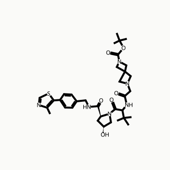 Cc1ncsc1-c1ccc(CNC(=O)[C@@H]2C[C@@H](O)CN2C(=O)C(NC(=O)CN2CC3(C2)CN(C(=O)OC(C)(C)C)C3)C(C)(C)C)cc1